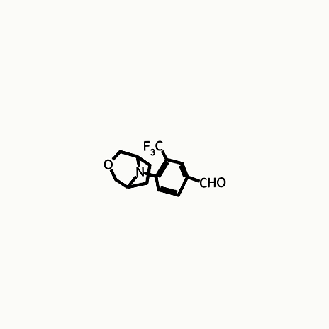 O=Cc1ccc(N2C3CCC2COC3)c(C(F)(F)F)c1